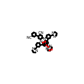 N#Cc1cccc(-c2cc(-n3c4ccc(-c5ncccn5)cc4c4cc(-c5ncccn5)ccc43)c(-n3c4ccc(-c5ncccn5)cc4c4cc(-c5ncccn5)ccc43)cc2C#N)c1